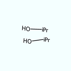 CC(C)O.CC(C)O